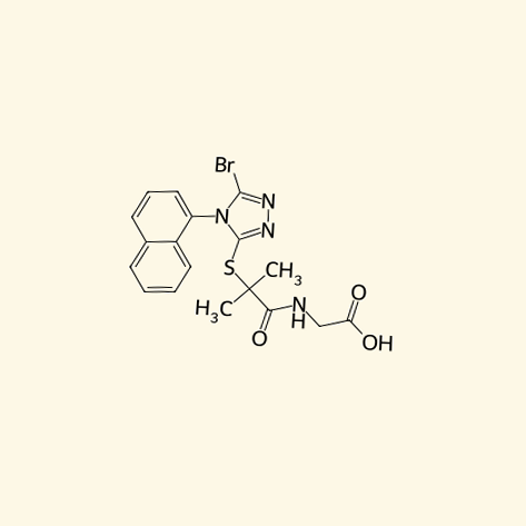 CC(C)(Sc1nnc(Br)n1-c1cccc2ccccc12)C(=O)NCC(=O)O